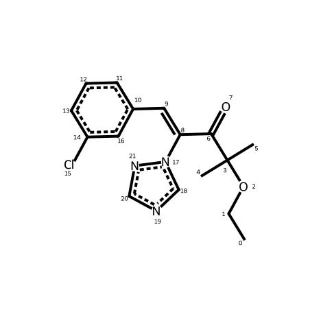 CCOC(C)(C)C(=O)C(=Cc1cccc(Cl)c1)n1cncn1